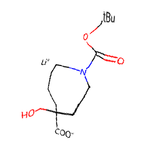 CC(C)(C)OC(=O)N1CCC(O)(C(=O)[O-])CC1.[Li+]